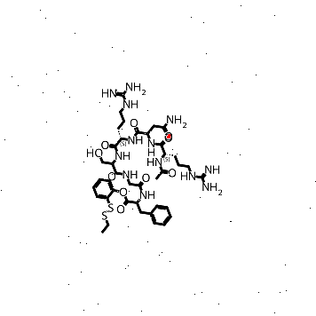 CCSSc1ccccc1OC(=O)C(Cc1ccccc1)NC(=O)CNC(=O)C(CO)NC(=O)[C@H](CCCNC(=N)N)NC(=O)C(CC(N)=O)NC(=O)[C@H](CCCNC(=N)N)NC(C)=O